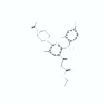 CCOC(=O)CC(=O)c1cc(F)c(N2CCN(C(C)=O)CC2)nc1Nc1ccc(F)cc1F